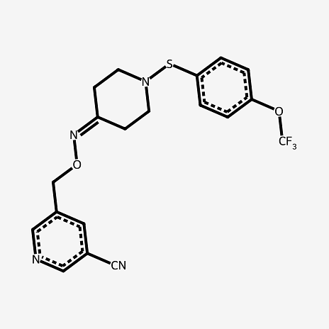 N#Cc1cncc(CON=C2CCN(Sc3ccc(OC(F)(F)F)cc3)CC2)c1